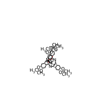 CC1(C)Oc2cc3c(cc2O1)-c1nc2c4cc5c(cc4c4nc6c7c(nc8c9cc%10c(cc9c(nc-3c17)n8n24)OC(C)(C)O%10)-c1cc2c(cc1-6)OC(C)(C)O2)OC(C)(C)O5